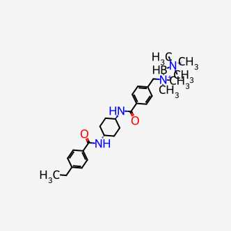 CCc1ccc(C(=O)N[C@H]2CC[C@H](NC(=O)c3ccc(C[N+](C)(C)B[N+](C)(C)C)cc3)CC2)cc1